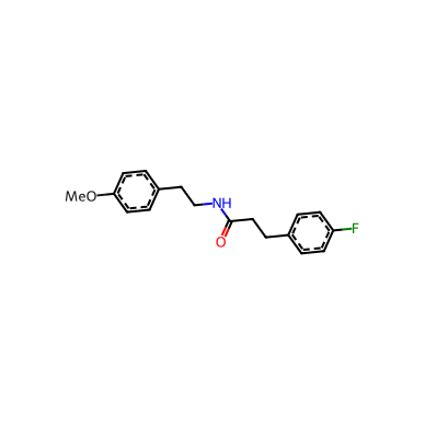 COc1ccc(CCNC(=O)CCc2ccc(F)cc2)cc1